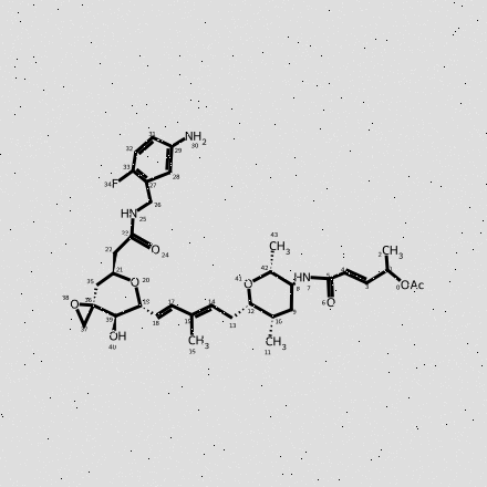 CC(=O)OC(C)C=CC(=O)N[C@@H]1C[C@H](C)[C@H](C/C=C(C)/C=C/[C@H]2O[C@H](CC(=O)NCc3cc(N)ccc3F)C[C@@]3(CO3)[C@@H]2O)O[C@@H]1C